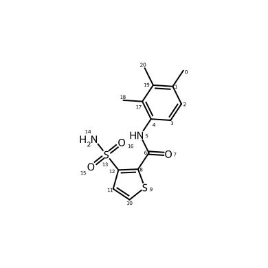 Cc1ccc(NC(=O)c2sccc2S(N)(=O)=O)c(C)c1C